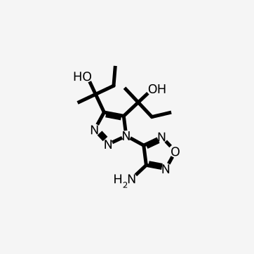 CCC(C)(O)c1nnn(-c2nonc2N)c1C(C)(O)CC